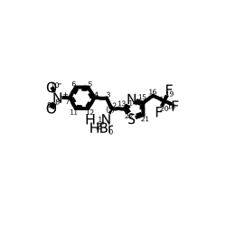 Br.N[C@@H](Cc1ccc([N+](=O)[O-])cc1)c1nc(CC(F)(F)F)cs1